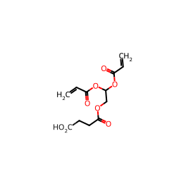 C=CC(=O)OC(COC(=O)CCC(=O)O)OC(=O)C=C